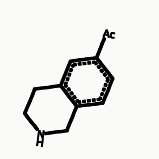 CC(=O)c1ccc2c(c1)CCNC2